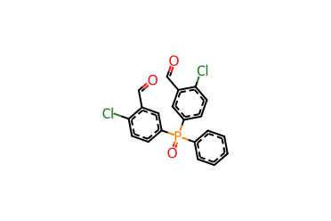 O=Cc1cc(P(=O)(c2ccccc2)c2ccc(Cl)c(C=O)c2)ccc1Cl